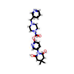 CC1(C)CC(=O)N(c2ccc(OC(=O)N3CCN(Cc4cccnc4)CC3)nc2)C(=O)C1